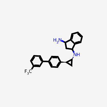 NC1CC(N[C@@H]2C[C@H]2c2ccc(-c3cccc(C(F)(F)F)c3)cc2)c2ccccc21